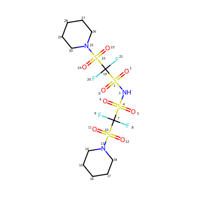 O=S(=O)(NS(=O)(=O)C(F)(F)S(=O)(=O)N1CCCCC1)C(F)(F)S(=O)(=O)N1CCCCC1